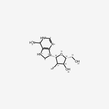 NC1NC=NC2=C1NCN2[C@@H]1O[C@H](CO)C(O)C1F